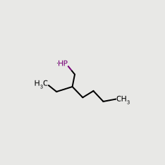 CCCCC(CC)C[PH]